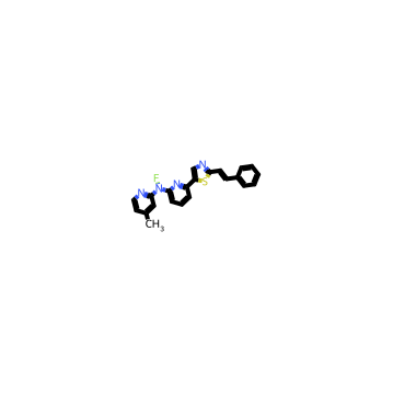 Cc1ccnc(N(F)c2cccc(-c3cnc(C=Cc4ccccc4)s3)n2)c1